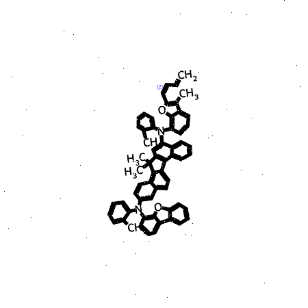 C=C/C=C\c1oc2c(N(c3ccccc3C)c3cc4c(c5ccccc35)-c3ccc5cc(N(c6ccccc6C)c6cccc7c6oc6ccccc67)ccc5c3C4(C)C)cccc2c1C